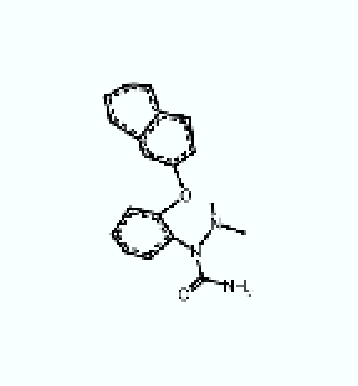 CN(C)N(C(N)=O)c1ccccc1Oc1ccc2ccccc2c1